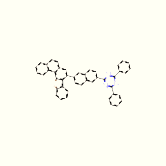 c1ccc(-c2nc(-c3ccccc3)nc(-c3ccc4cc(-c5cc6ccc7ccccc7c6c6sc7ccccc7c56)ccc4c3)n2)cc1